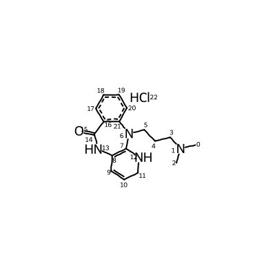 CN(C)CCCN1C2=C(C=CCN2)NC(=O)c2ccccc21.Cl